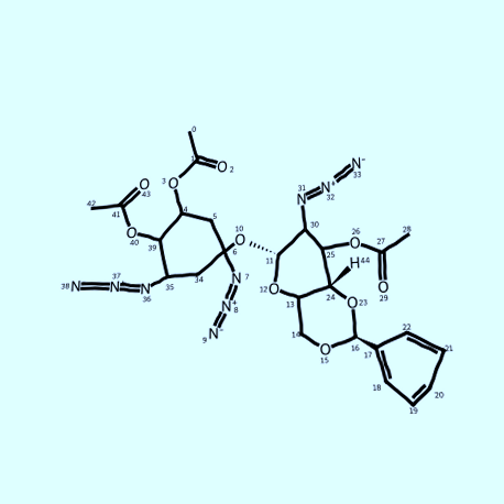 CC(=O)OC1CC(N=[N+]=[N-])(O[C@H]2OC3CO[C@H](c4ccccc4)O[C@H]3C(OC(C)=O)C2N=[N+]=[N-])CC(N=[N+]=[N-])C1OC(C)=O